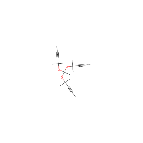 CC#CC(C)(C)O[Si](C)(OC(C)(C)C#CC)OC(C)(C)C#CC